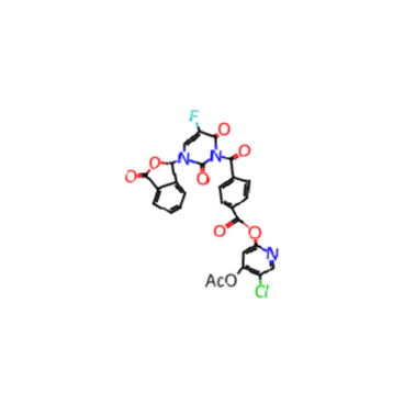 CC(=O)Oc1cc(OC(=O)c2ccc(C(=O)n3c(=O)c(F)cn(C4OC(=O)c5ccccc54)c3=O)cc2)ncc1Cl